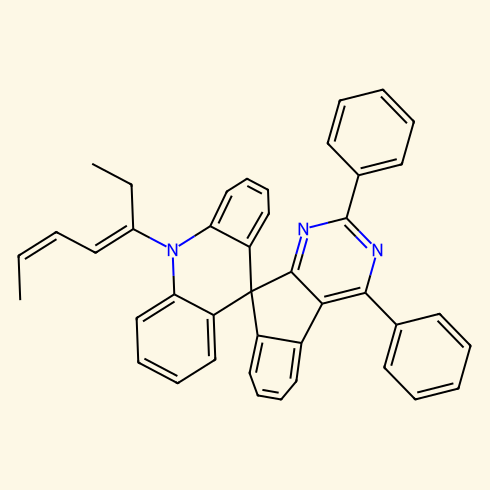 C/C=C\C=C(/CC)N1c2ccccc2C2(c3ccccc3-c3c(-c4ccccc4)nc(-c4ccccc4)nc32)c2ccccc21